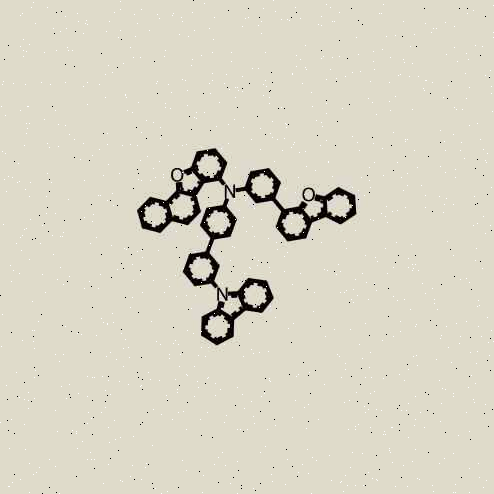 c1cc(-c2cccc3c2oc2ccccc23)cc(N(c2ccc(-c3cccc(-n4c5ccccc5c5ccccc54)c3)cc2)c2cccc3oc4c5ccccc5ccc4c23)c1